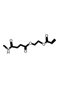 C=CC(=O)OCCOC(=O)CCC(=O)NC